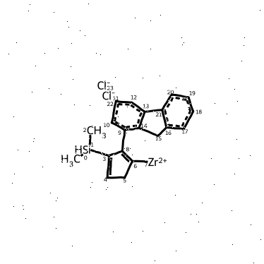 C[SiH](C)C1=CC[C]([Zr+2])=C1c1cccc2c1Cc1ccccc1-2.[Cl-].[Cl-]